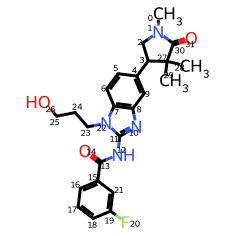 CN1CC(c2ccc3c(c2)nc(NC(=O)c2cccc(F)c2)n3CCCO)C(C)(C)C1=O